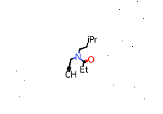 C#CCN(CCC(C)C)C(=O)CC